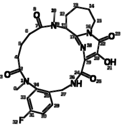 CN1C(=O)CCCC(=O)N(C)C2CCCCn3c2nc(c(O)c3=O)C(=O)NCc2ccc(F)cc21